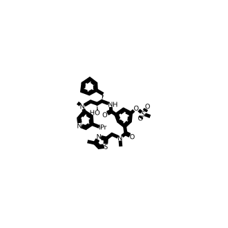 Cc1csc(CN(C)C(=O)c2cc(OS(C)(=O)=O)cc(C(=O)N[C@@H](Cc3ccccc3)[C@H](O)CN(C)c3cncc(C(C)C)c3)c2)n1